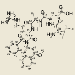 CC[C@H](C)[C@H](N)C(=O)N[C@@H](CCC(=O)O)C(=O)N[C@@H](C)C(=O)N[C@@H](CCCNC(=N)N)C(=O)N(C(=O)c1ccccc1)c1cc(OC)c2ccccc2c1